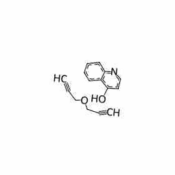 C#CCOCC#C.Oc1ccnc2ccccc12